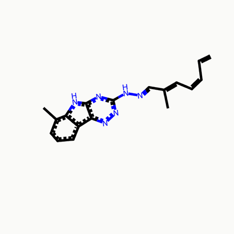 C=C\C=C/C=C(C)/C=N/Nc1nnc2c(n1)[nH]c1c(C)cccc12